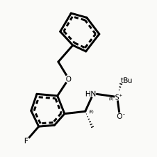 C[C@@H](N[S@@+]([O-])C(C)(C)C)c1cc(F)ccc1OCc1ccccc1